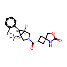 Cc1ccccc1[C@H]1[C@@H]2CN(C(=O)[C@H]3C[C@]4(COC(=O)N4)C3)C[C@@]21C